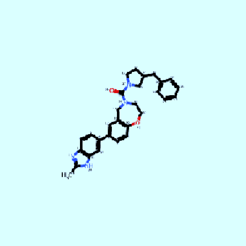 Cc1nc2ccc(-c3ccc4c(c3)CN(C(=O)N3CCC(Cc5ccccc5)C3)CCO4)cc2[nH]1